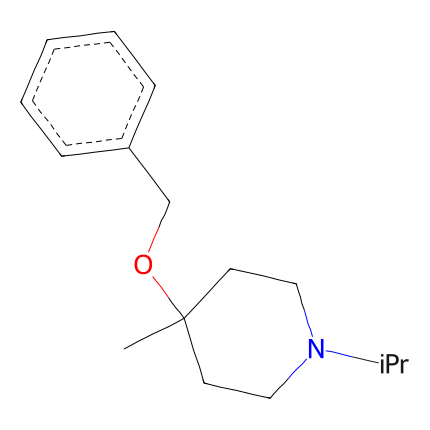 CC(C)N1CCC(C)(OCc2ccccc2)CC1